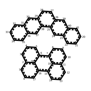 c1cc2cccc3c4cccc5cccc(c(c1)c23)c54.c1ccc2cc3c(ccc4cc5ccccc5cc43)cc2c1